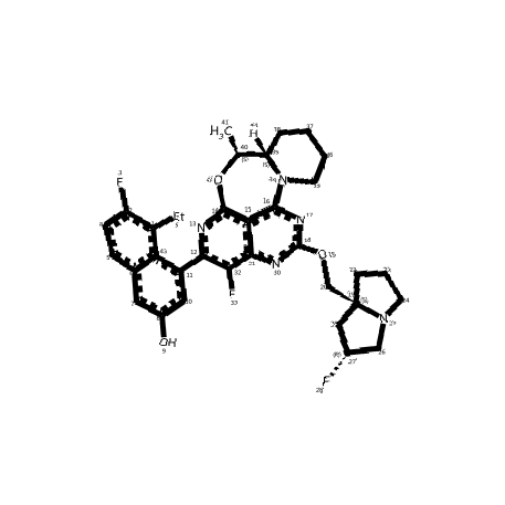 CCc1c(F)ccc2cc(O)cc(-c3nc4c5c(nc(OC[C@@]67CCCN6C[C@H](F)C7)nc5c3F)N3CCCC[C@H]3[C@H](C)O4)c12